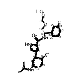 CC(C)Nc1cc(-c2c[nH]c(C(=O)N[C@H](COCOO)c3cccc(Cl)c3)c2)c(Cl)cn1